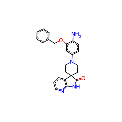 Nc1ccc(N2CCC3(CC2)C(=O)Nc2ncccc23)cc1OCc1ccccc1